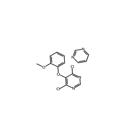 COc1ccccc1Oc1c(Cl)ncnc1Cl.c1cncnc1